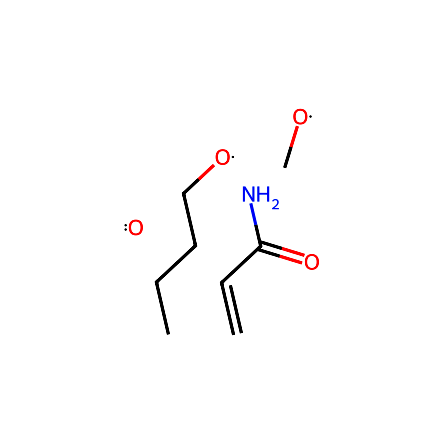 C=CC(N)=O.CCCC[O].C[O].[O]